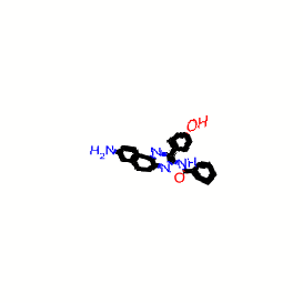 Nc1ccc2c(c1)CCc1nc(NC(=O)c3ccccc3)c(-c3ccc(O)cc3)nc1-2